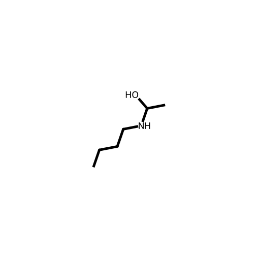 CCCCNC(C)O